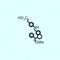 CO/N=C(/c1ccccc1)C1CCCc2ccc(CNc3ccc(CCC(=O)O)cc3)cc21